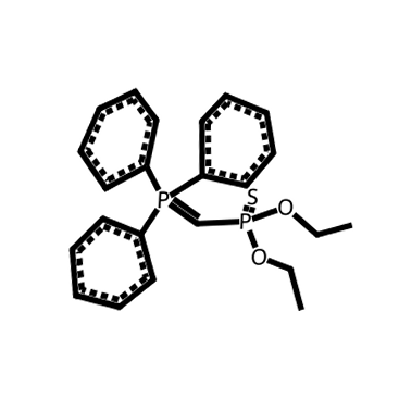 CCOP(=S)(C=P(c1ccccc1)(c1ccccc1)c1ccccc1)OCC